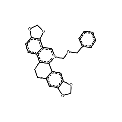 c1ccc(COC[n+]2cc3c4c(ccc3c3c2-c2cc5c(cc2CC3)OCO5)OCO4)cc1